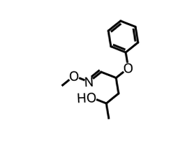 CON=CC(CC(C)O)Oc1ccccc1